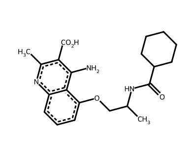 Cc1nc2cccc(OCC(C)NC(=O)C3CCCCC3)c2c(N)c1C(=O)O